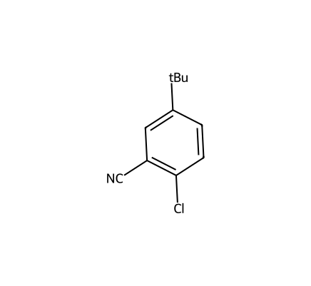 CC(C)(C)c1ccc(Cl)c(C#N)c1